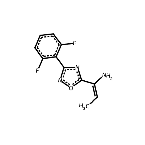 C/C=C(/N)c1nc(-c2c(F)cccc2F)no1